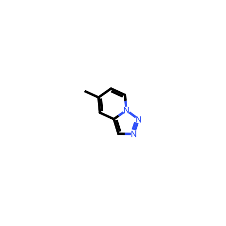 Cc1ccn2nncc2c1